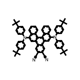 CC(C)(C)c1ccc(N(c2ccc(C(C)(C)C)cc2)c2cc3c4cc(C#N)c(C#N)cc4c4cc(N(c5ccc(C(C)(C)C)cc5)c5ccc(C(C)(C)C)cc5)c5ccccc5c4c3c3ccccc23)cc1